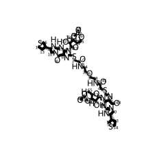 O=C(CSc1nc2c(=O)n3cc(-c4ccsc4)[nH]c3nc2n1[C@@H]1OC2CO[PH](=O)O[C@H]2C1O)NCCOCCNC(=O)CSc1nc2c(=O)n3cc(-c4ccsc4)[nH]c3nc2n1[C@@H]1OC2CO[PH](=O)O[C@H]2C1O